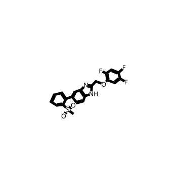 CS(=O)(=O)c1ccccc1-c1ccc2[nH]c(COc3cc(F)c(F)cc3F)nc2c1